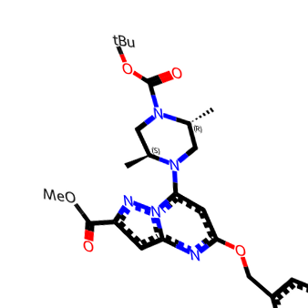 COC(=O)c1cc2nc(OCc3ccccc3)cc(N3C[C@@H](C)N(C(=O)OC(C)(C)C)C[C@@H]3C)n2n1